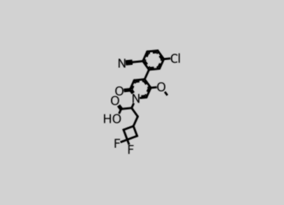 COc1cn(C(CC2CC(F)(F)C2)C(=O)O)c(=O)cc1-c1cc(Cl)ccc1C#N